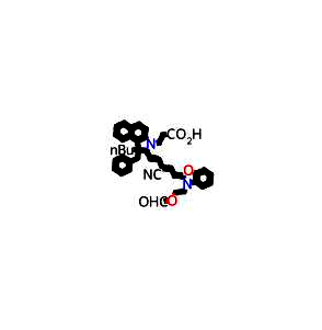 CCCCC1(Cc2ccccc2)C(/C=C/C(C#N)=C/C=C2\Oc3ccccc3N2CCOC=O)=[N+](CCC(=O)O)c2ccc3ccccc3c21